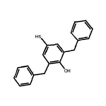 Oc1c(Cc2ccccc2)cc(S)cc1Cc1ccccc1